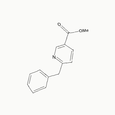 COC(=O)c1ccc(Cc2ccccc2)nc1